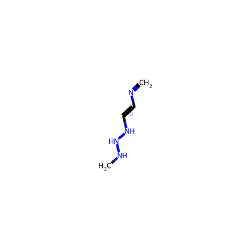 C=N/C=C/NNNC